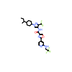 CCC(C)C1CCC(n2cc(NC(=O)c3coc(-c4ccnc(NCC(F)(F)F)c4)n3)c(C(F)F)n2)CC1